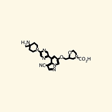 CC1(N)CCN(c2cnc(-c3cc(OCC4CN(C(=O)O)CCO4)cn4ncc(C#N)c34)cn2)CC1